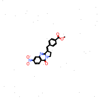 COC(=O)c1ccc(C=C2CCn3c2nc2cc([N+](=O)[O-])ccc2c3=O)cc1